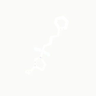 NC1CCN(S(=O)(=O)CC=CCc2ccccc2)C1